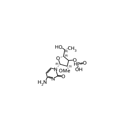 CO[C@H]1C(O[PH](=O)O)[C@@H]([C@@H](C)O)O[C@H]1n1ccc(N)nc1=O